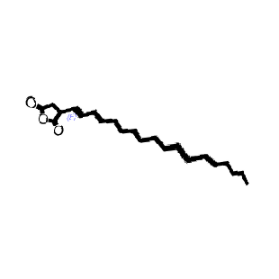 CCCCCCCCCCCCCCCC/C=C/C1CC(=O)OC1=O